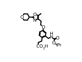 Cc1oc(C2CCOCC2)nc1CCOc1ccc(CCC(=O)O)c(CNC(=O)OC(C)C)c1